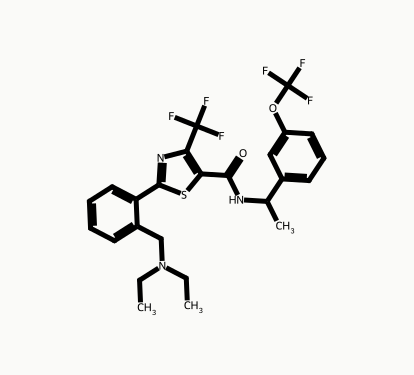 CCN(CC)Cc1ccccc1-c1nc(C(F)(F)F)c(C(=O)NC(C)c2cccc(OC(F)(F)F)c2)s1